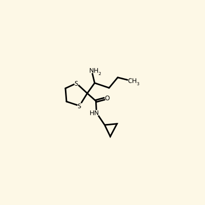 CCCC(N)C1(C(=O)NC2CC2)SCCS1